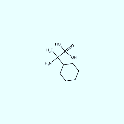 CC(N)(C1CCCCC1)P(=O)(O)O